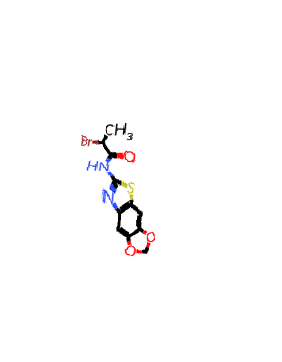 CC(Br)C(=O)Nc1nc2cc3c(cc2s1)OCO3